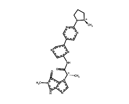 C[C@@H]1CCCN1c1ncc(-c2cncc(NC(=O)[C@H](C)n3cnc4[nH]n(C)c(=O)c43)n2)cn1